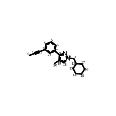 CC#Cc1cccc(-c2nn(CC3CCCCC3)cc2C)c1